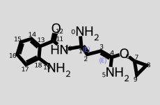 N/C(=C\C=C(/N)OC1CC1)NC(=O)c1ccccc1N